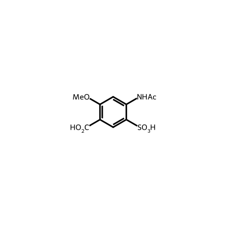 COc1cc(NC(C)=O)c(S(=O)(=O)O)cc1C(=O)O